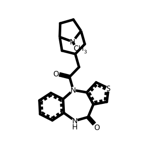 CN1C2CCC1CC(CC(=O)N1c3ccccc3NC(=O)c3cscc31)C2